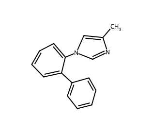 Cc1cn(-c2ccccc2-c2ccccc2)cn1